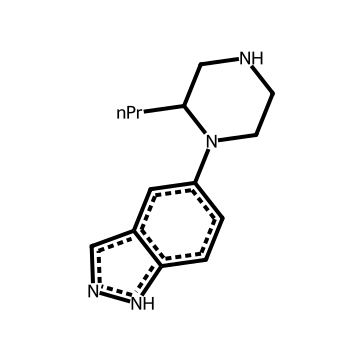 CCCC1CNCCN1c1ccc2[nH]ncc2c1